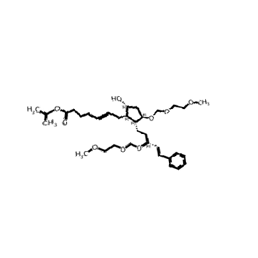 COCCOCO[C@@H](CCc1ccccc1)CC[C@@H]1[C@@H](CC=CCCCC(=O)OC(C)C)[C@H](O)C[C@H]1OCOCCOC